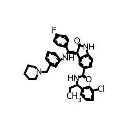 CCC(NC(=O)c1ccc2c(c1)C(=C(Nc1cccc(CN3CCCCC3)c1)c1ccc(F)cc1)C(=O)N2)c1cccc(Cl)c1